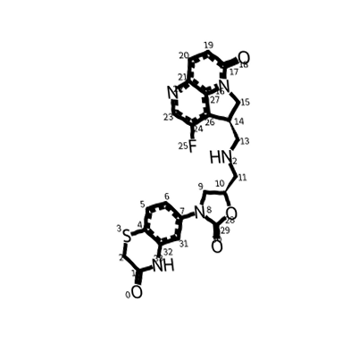 O=C1CSc2ccc(N3C[C@@H](CNC[C@@H]4Cn5c(=O)ccc6ncc(F)c4c65)OC3=O)cc2N1